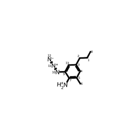 CCCc1cc(C)c(N)c(N=[N+]=[N-])c1